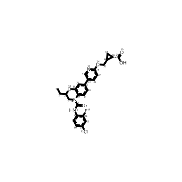 CCC1CN(C(=O)Nc2ccc(Cl)cc2F)c2ccc(-c3ccc(OCC4C[C@@H]4C(=O)O)nc3)cc2O1